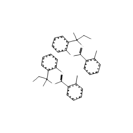 Cc1ccccc1C1=NC(C)(CI)c2ccccc2O1.Cc1ccccc1C1=Nc2ccccc2C(C)(CI)O1